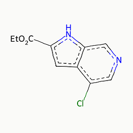 CCOC(=O)c1cc2c(Cl)cncc2[nH]1